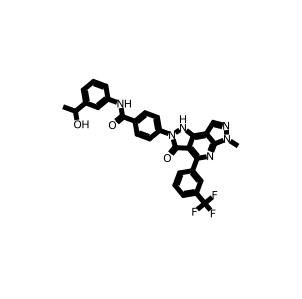 CC(O)c1cccc(NC(=O)c2ccc(-n3[nH]c4c(c(-c5cccc(C(F)(F)F)c5)nc5c4cnn5C)c3=O)cc2)c1